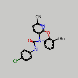 CC(C)(C)c1ccccc1Oc1nc(C#N)ccc1NC(=O)Nc1ccc(Cl)cc1